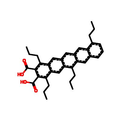 CCCc1cccc2cc3c(CCC)c4cc5c(CCC)c(C(=O)O)c(C(=O)O)c(CCC)c5cc4cc3cc12